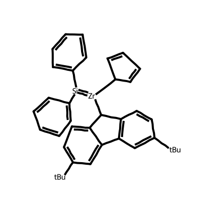 CC(C)(C)c1ccc2c(c1)-c1cc(C(C)(C)C)ccc1[CH]2[Zr]([CH]1C=CC=C1)=[Si](c1ccccc1)c1ccccc1